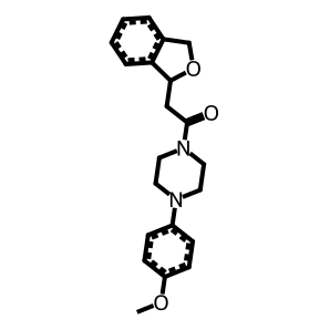 COc1ccc(N2CCN(C(=O)CC3OCc4ccccc43)CC2)cc1